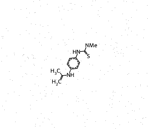 C=C(C)Nc1ccc(NC(=S)NC)cc1